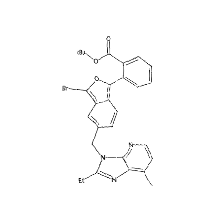 CCc1nc2c(C)ccnc2n1Cc1ccc2c(-c3ccccc3C(=O)OC(C)(C)C)oc(Br)c2c1